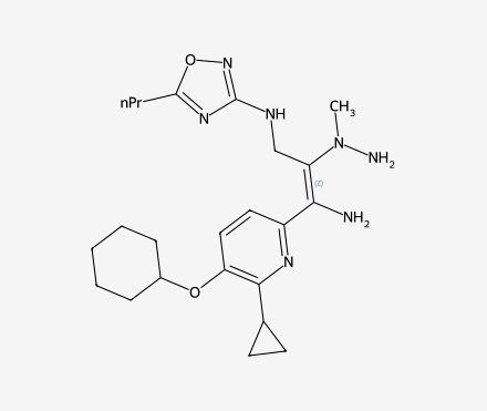 CCCc1nc(NC/C(=C(/N)c2ccc(OC3CCCCC3)c(C3CC3)n2)N(C)N)no1